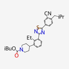 CCc1c(-c2nsc(-c3ccc(CC(C)C)c(C#N)c3)n2)cccc1C1CCN(C(=O)OCC(C)C)CC1